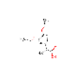 CCOc1ccc(C(C)C(=O)O)cc1OCC